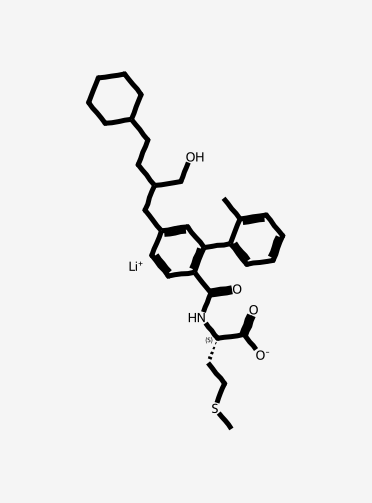 CSCC[C@H](NC(=O)c1ccc(CC(CO)CCC2CCCCC2)cc1-c1ccccc1C)C(=O)[O-].[Li+]